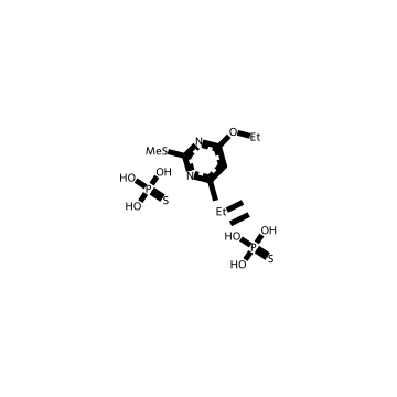 CC.CCC.CCOc1cc(C)nc(SC)n1.OP(O)(O)=S.OP(O)(O)=S